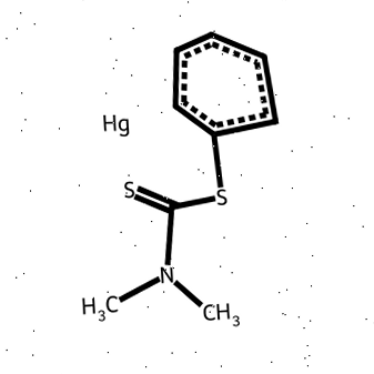 CN(C)C(=S)Sc1ccccc1.[Hg]